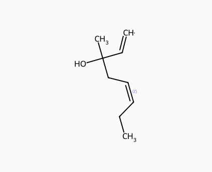 [CH]=CC(C)(O)C/C=C\CC